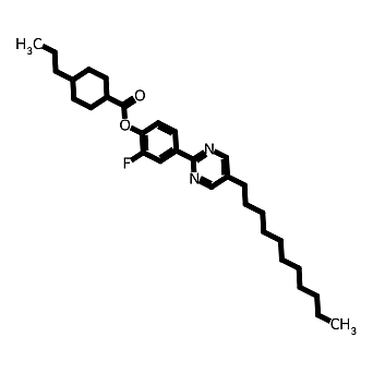 CCCCCCCCCCCc1cnc(-c2ccc(OC(=O)C3CCC(CCC)CC3)c(F)c2)nc1